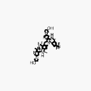 Cc1cc([C@@H](C)Nc2nnc(C)c3ncc(N4CC[C@H](O)C4)cc23)cc(C(F)(F)F)c1Cc1nnc(N[C@H](C)c2cccc(C(F)(F)F)c2)c2cc(N3CC[C@H](O)C3)cnc12